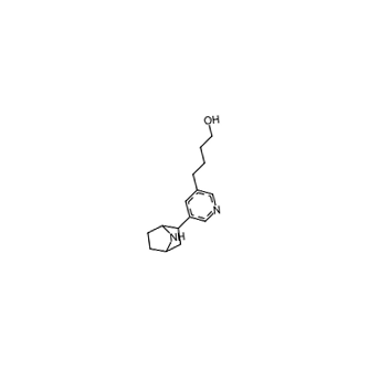 OCCCCc1cncc(C2CC3CCC2N3)c1